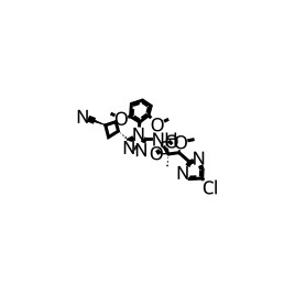 COc1cccc(OC)c1-n1c(NS(=O)(=O)[C@@H](C)[C@H](OC)c2ncc(Cl)cn2)nnc1[C@H]1C[C@H](C#N)C1